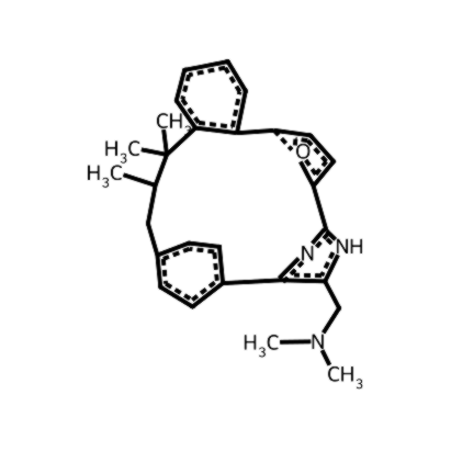 CC1Cc2ccc(cc2)-c2nc([nH]c2CN(C)C)-c2ccc(o2)-c2ccccc2C1(C)C